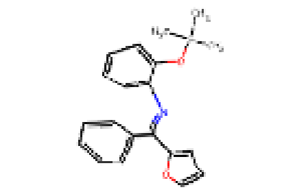 C[Si](C)(C)Oc1ccccc1N=C(c1ccccc1)c1ccco1